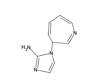 Nc1nccn1C1C=CC=CN=C1